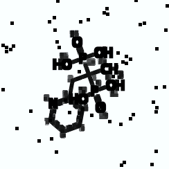 CC(Cc1ccccn1)(P(=O)(O)O)P(=O)(O)O